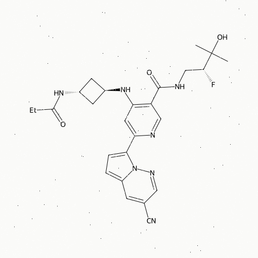 CCC(=O)N[C@H]1C[C@H](Nc2cc(-c3ccc4cc(C#N)cnn34)ncc2C(=O)NC[C@@H](F)C(C)(C)O)C1